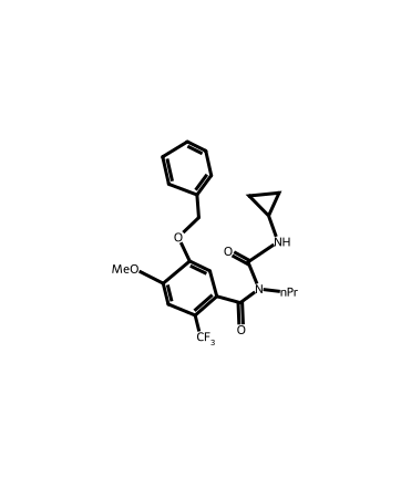 CCCN(C(=O)NC1CC1)C(=O)c1cc(OCc2ccccc2)c(OC)cc1C(F)(F)F